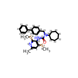 CSc1cc(C)nc(SC)c1NC(=O)N(Cc1ccc(-c2ccccc2)cc1)C1CCCCCC1